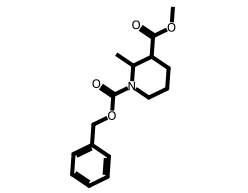 COC(=O)C1CCCN(C(=O)OCc2ccccc2)C1C